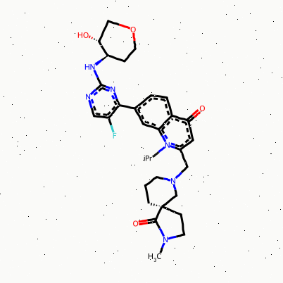 CC(C)n1c(CN2CCC[C@@]3(CCN(C)C3=O)C2)cc(=O)c2ccc(-c3nc(N[C@@H]4CCOC[C@H]4O)ncc3F)cc21